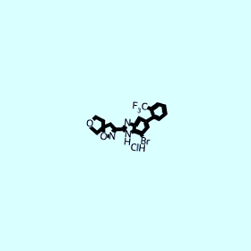 Cl.FC(F)(F)c1ccccc1-c1cc(Br)c2[nH]c(C3=NOC4(CCOCC4)C3)nc2c1